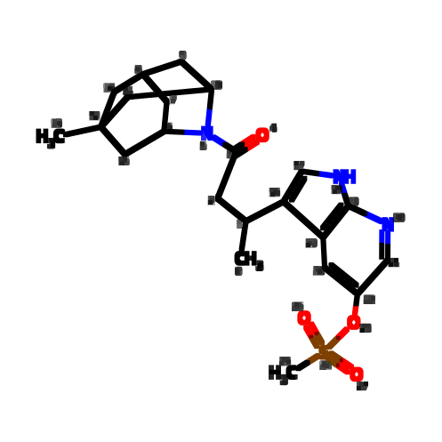 CC(CC(=O)N1C2CC3CC1CC(C)(C3)C2)c1c[nH]c2ncc(OS(C)(=O)=O)cc12